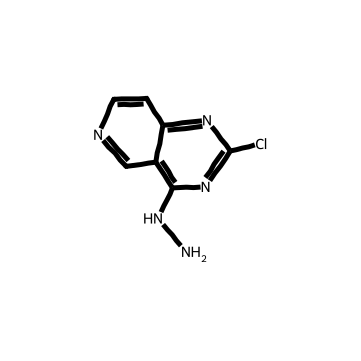 NNc1nc(Cl)nc2ccncc12